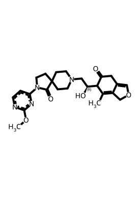 COc1nccc(N2CCC3(CCN(C[C@H](O)C4C(=O)CC5=COCC5=C4C)CC3)C2=O)n1